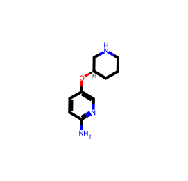 Nc1ccc(O[C@@H]2CCCNC2)cn1